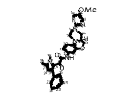 COc1cnc(N2CCN3c4ccc(NC(=O)C(=O)c5c(-c6ccccc6)cc(C)n5C)cc4OC[C@@H]3C2)nc1